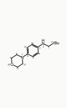 CC(C)(C)CNc1ccc(N2CCOCC2)cc1